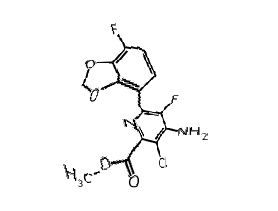 COC(=O)c1nc(-c2ccc(F)c3c2OCO3)c(F)c(N)c1Cl